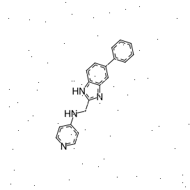 c1ccc(-c2ccc3[nH]c(CNc4ccncc4)nc3c2)cc1